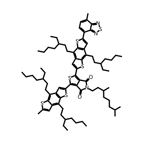 CCCCC(CC)CCc1c2cc(-c3sc(-c4cc5c(CCC(CC)CCCC)c6sc(-c7ccc(C)c8nsnc78)cc6c(CCC(CC)CCCC)c5s4)c4c3C(=O)N(CCC(C)CCCC(C)C)C4=O)sc2c(CCC(CC)CCCC)c2cc(C)sc12